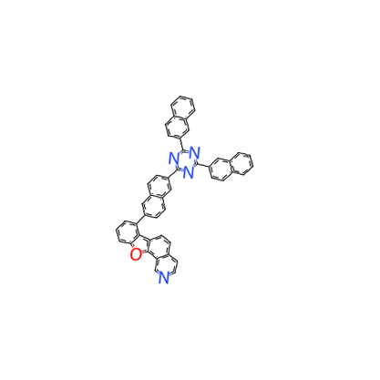 c1ccc2cc(-c3nc(-c4ccc5ccccc5c4)nc(-c4ccc5cc(-c6cccc7oc8c9cnccc9ccc8c67)ccc5c4)n3)ccc2c1